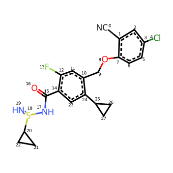 N#Cc1cc(Cl)ccc1OCc1cc(F)c(C(=O)NS(=N)C2CC2)cc1C1CC1